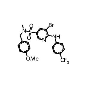 COc1ccc(CN(C)S(=O)(=O)c2cnc(Nc3ccc(C(F)(F)F)cc3)c(Br)c2)cc1